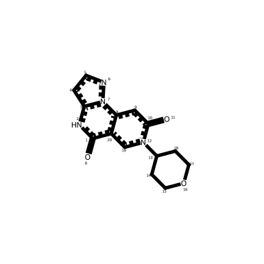 O=c1[nH]c2ccnn2c2cc(=O)n(C3CCOCC3)cc12